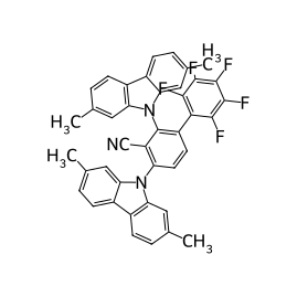 Cc1ccc2c3ccc(C)cc3n(-c3ccc(-c4c(F)c(F)c(F)c(F)c4F)c(-n4c5cc(C)ccc5c5ccc(C)cc54)c3C#N)c2c1